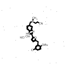 CC(C)COc1ccc(Cl)cc1Cc1ccc(-c2nc3cc(CN(C)CCC#N)ccc3[nH]2)o1.Cl.Cl